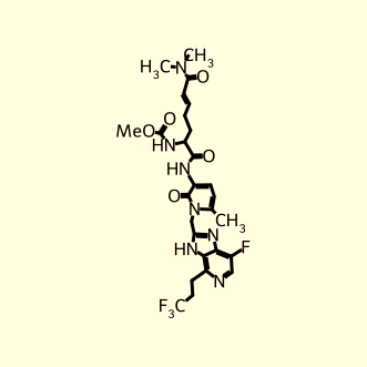 COC(=O)NC(CCC=CC(=O)N(C)C)C(=O)Nc1ccc(C)n(Cc2nc3c(F)cnc(CCC(F)(F)F)c3[nH]2)c1=O